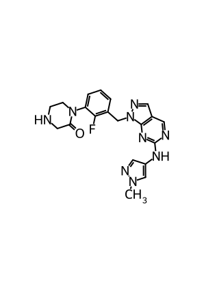 Cn1cc(Nc2ncc3cnn(Cc4cccc(N5CCNCC5=O)c4F)c3n2)cn1